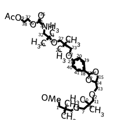 COCC(C)(C)COCC(C)(C)COCC1COC(c2ccc(OCC(C)(C)COC(C)(C)CNC(=O)OCCOC(C)=O)cc2)O1